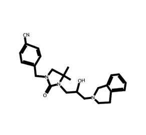 CC1(C)CN(Cc2ccc(C#N)cc2)C(=O)N1CC(O)CN1CCc2ccccc2C1